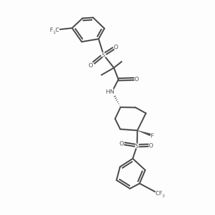 CC(C)(C(=O)N[C@H]1CC[C@@](F)(S(=O)(=O)c2cccc(C(F)(F)F)c2)CC1)S(=O)(=O)c1cccc(C(F)(F)F)c1